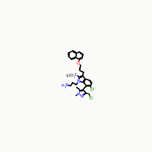 CCOC(=O)c1c(CCCOc2cccc3ccccc23)c2ccc(Cl)c(-c3c(CCl)nn(C)c3C)c2n1CCCN